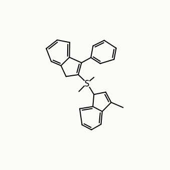 CC1=CC(S(C)(C)C2=C(c3ccccc3)c3ccccc3C2)c2ccccc21